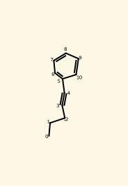 CC[CH]C#Cc1ccccc1